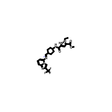 CC[n+]1[nH]c(C(=O)NC2CCC(/C=N/c3cccc4nc(C(F)(F)F)cn34)CC2)cc1C(=O)OC